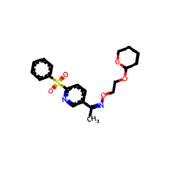 CC(=NOCCOC1CCCCO1)c1ccc(S(=O)(=O)c2ccccc2)nc1